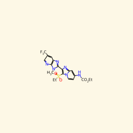 CCOC(=O)Nc1ccn2c(S(=O)(=O)CC)c(-c3nc4cc(C(F)(F)F)cnc4n3C)nc2c1